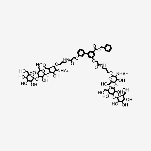 CC(=O)NC1C(O)[C@H](O[C@@H]2OC(CO)[C@H](O)C(O[C@H]3OC(CO)[C@H](O)C(O)C3O)C2O)C(CO)O[C@H]1OCCCNC(=O)COc1cc(C(=O)OCc2ccccc2)cc(-c2cccc(OCC(=O)NCCCO[C@@H]3OC(CO)[C@@H](O[C@@H]4OC(CO)[C@H](O)C(O[C@H]5OC(CO)[C@H](O)C(O)[C@H]5O)C4O)C(O)C3NC(C)=O)c2)c1